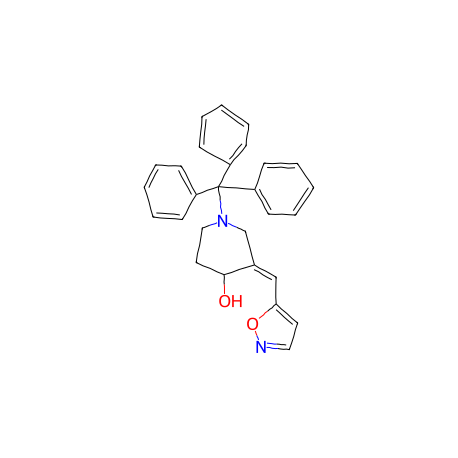 OC1CCN(C(c2ccccc2)(c2ccccc2)c2ccccc2)C/C1=C/c1ccno1